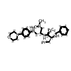 CC(C)C[C@H](N[C@@H](c1ccccc1)C(F)(F)F)C(=O)N[C@H](CNc1ccc(N2CCOCC2)cc1)CN(C)C